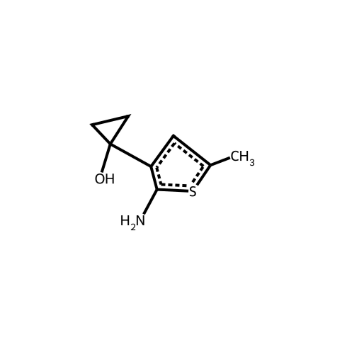 Cc1cc(C2(O)CC2)c(N)s1